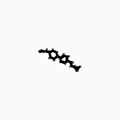 CCCCCC1CCC(c2ccc(OCC3CO3)cc2)CC1